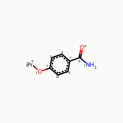 CC(C)Oc1ccc(C(N)=O)cc1